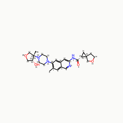 Cc1cc2cnc(NC(=O)[C@@H]3C[C@]34CCOC4)cc2cc1N1CCN([C@@]2(C)COC[C@H]2O)CC1